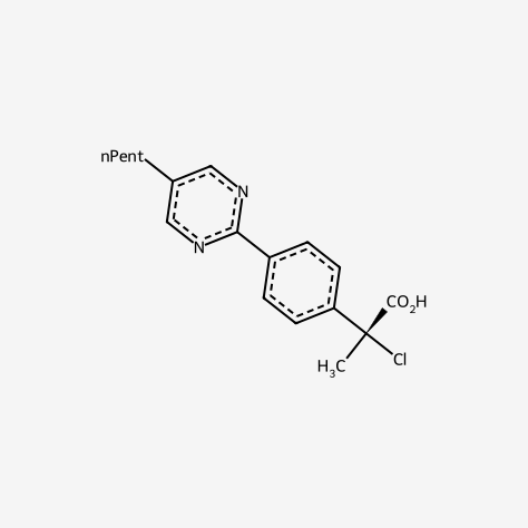 CCCCCc1cnc(-c2ccc([C@@](C)(Cl)C(=O)O)cc2)nc1